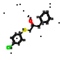 O=C(CSc1ccc(Cl)cc1)Cc1ccccc1